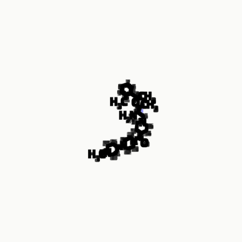 C/C(OC(C)c1ccccc1C)=C(/N)CN1CCC(C(=O)N2CCN(C3CCN(C)CC3)CC2)CC1